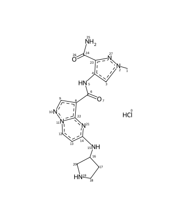 Cl.Cn1cc(NC(=O)c2cnn3ccc(NC4CCNC4)nc23)c(C(N)=O)n1